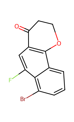 O=C1CCOc2c1cc(F)c1c(Br)cccc21